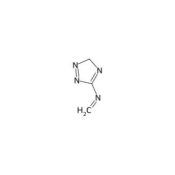 C=NC1=NCN=N1